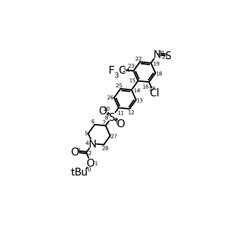 CC(C)(C)OC(=O)N1CCC(S(=O)(=O)c2ccc(-c3c(Cl)cc(N=S)cc3C(F)(F)F)cc2)CC1